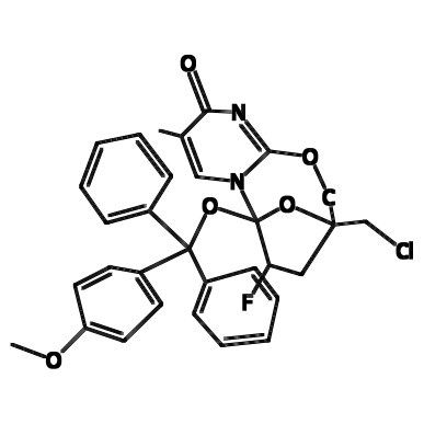 COc1ccc(C(OC23OC(CCl)(COc4nc(=O)c(C)cn42)CC3F)(c2ccccc2)c2ccccc2)cc1